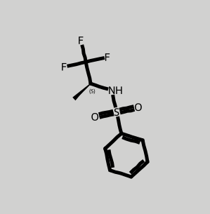 C[C@H](NS(=O)(=O)c1ccccc1)C(F)(F)F